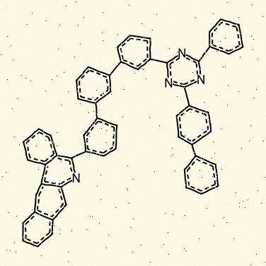 c1ccc(-c2ccc(-c3nc(-c4ccccc4)nc(-c4cccc(-c5cccc(-c6cccc(-c7nc8cc9ccccc9cc8c8ccccc78)c6)c5)c4)n3)cc2)cc1